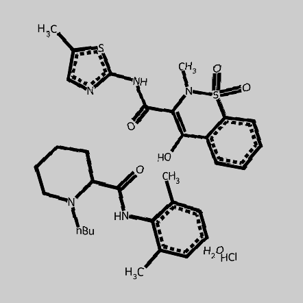 CCCCN1CCCCC1C(=O)Nc1c(C)cccc1C.Cc1cnc(NC(=O)C2=C(O)c3ccccc3S(=O)(=O)N2C)s1.Cl.O